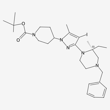 CC[C@@]1(C)CN(Cc2ccccc2)CCN1c1nn(C2CCN(C(=O)OC(C)(C)C)CC2)c(C)c1I